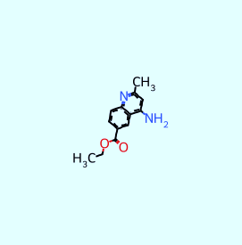 CCOC(=O)c1ccc2nc(C)cc(N)c2c1